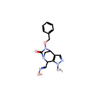 Cn1ncc2c1C(C=NO)N1CC2N(OCc2ccccc2)C1=O